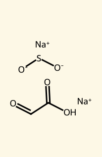 O=CC(=O)O.[Na+].[Na+].[O-]S[O-]